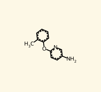 Cc1ccccc1Oc1ccc(N)cn1